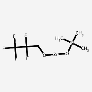 C[Si](C)(C)[O][Zn][O]CC(F)(F)C(F)(F)F